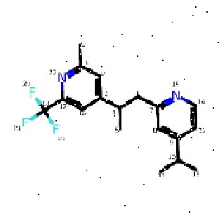 Cc1cc(C(C)Cc2cc(C(C)C)ccn2)cc(C(F)(F)F)n1